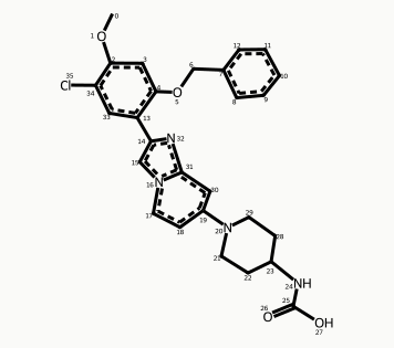 COc1cc(OCc2ccccc2)c(-c2cn3ccc(N4CCC(NC(=O)O)CC4)cc3n2)cc1Cl